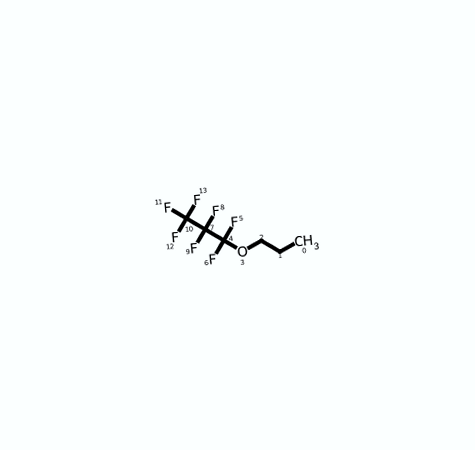 CCCOC(F)(F)C(F)(F)C(F)(F)F